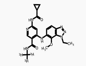 [2H]C([2H])([2H])NC(=O)c1cnc(NC(=O)C2CC2)cc1Nc1ccc2nnn(CC)c2c1OC